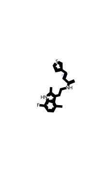 C=C(/C=C/c1ccsc1)NCCc1c(C)[nH]c2c(F)ccc(C)c12